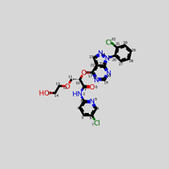 O=C(Nc1ccc(Cl)cn1)[C@H](COCCO)Oc1ncnc2c1cnn2-c1ccccc1Cl